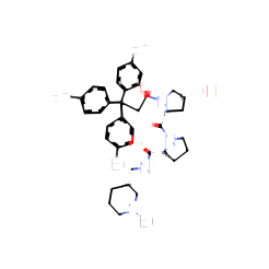 CCc1ccc(C(CC(=O)N2C[C@H](O)C[C@H]2C(=O)N2CCC[C@@H]2C(=O)NC[C@H]2CCCN(CC)C2)(c2ccc(CC)cc2)c2ccc(CC)cc2)cc1